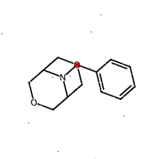 c1ccc(CN2C3COCC2COC3)cc1